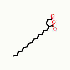 CCCCCCCCCCCCCCC1CCC(=O)OC1=O